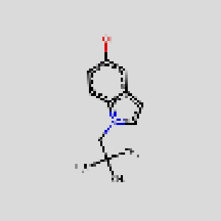 CC(C)(C)Cn1c[c]c2cc(O)ccc21